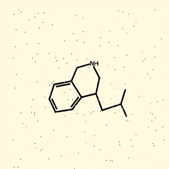 CC(C)CC1CNCc2ccccc21